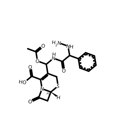 CC(=O)OC(NC(=O)C(NN)c1ccccc1)C1=C(C(=O)O)N2C(=O)C[C@H]2SC1